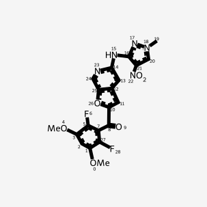 COc1cc(OC)c(F)c(C(=O)c2cc3cc(Nc4nn(C)cc4[N+](=O)[O-])ncc3o2)c1F